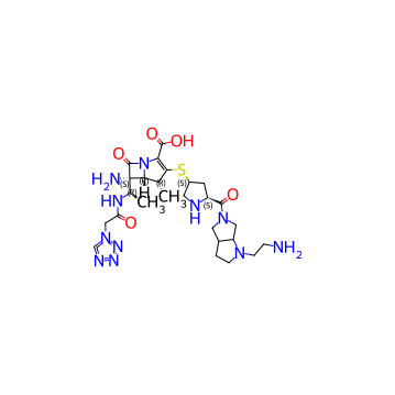 C[C@H]1C(S[C@@H]2CN[C@H](C(=O)N3CC4CCN(CCN)C4C3)C2)=C(C(=O)O)N2C(=O)[C@](N)([C@@H](C)NC(=O)Cn3cnnn3)[C@@H]12